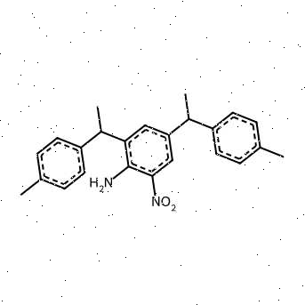 Cc1ccc(C(C)c2cc(C(C)c3ccc(C)cc3)c(N)c([N+](=O)[O-])c2)cc1